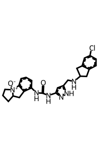 O=C(Nc1cc(CNC2Cc3ccc(Cl)cc3C2)[nH]n1)Nc1cccc2c1CC1CCC[N+]21[O-]